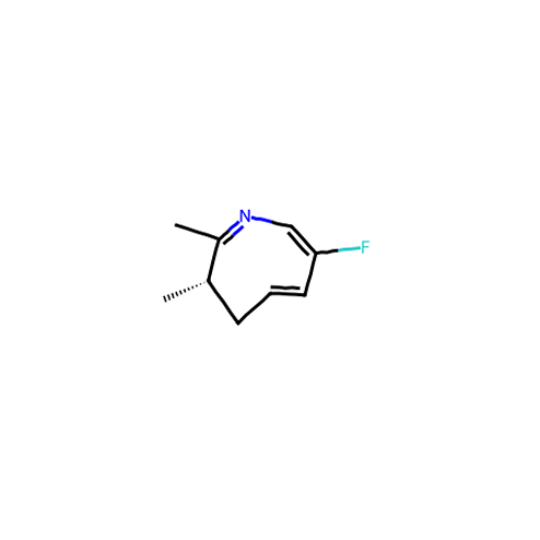 C/C1=N/C=C(F)\C=C\C[C@@H]1C